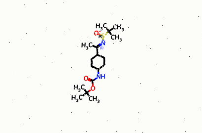 C/C(=N\[S@@+]([O-])C(C)(C)C)C1CCC(NC(=O)OC(C)(C)C)CC1